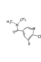 CN(C)C(=O)c1cnc(Cl)c(F)c1